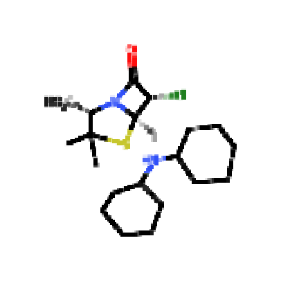 C1CCC(NC2CCCCC2)CC1.CC1(C)S[C@@H]2[C@@H](Cl)C(=O)N2[C@H]1C(=O)O